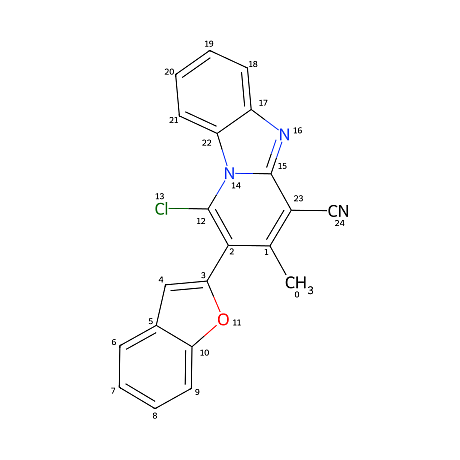 Cc1c(-c2cc3ccccc3o2)c(Cl)n2c(nc3ccccc32)c1C#N